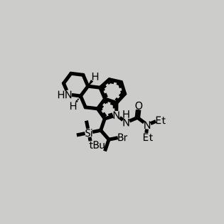 CCN(CC)C(=O)Nn1c(C(C(C)Br)[Si](C)(C)C(C)(C)C)c2c3c(cccc31)[C@H]1CCCN[C@@H]1C2